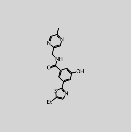 CCc1cnc(-c2cc(O)cc(C(=O)NCc3cnc(C)cn3)c2)s1